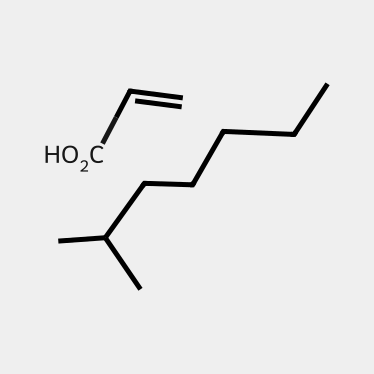 C=CC(=O)O.CCCCCC(C)C